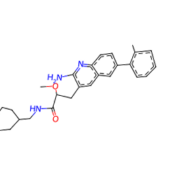 COC(Cc1cc2cc(-c3ccccc3C)ccc2nc1N)C(=O)NCC1CCCCC1